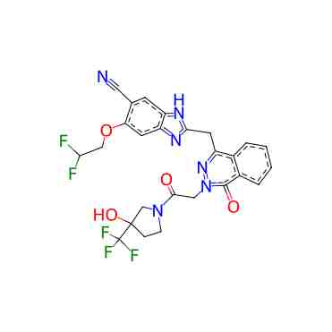 N#Cc1cc2[nH]c(Cc3nn(CC(=O)N4CCC(O)(C(F)(F)F)C4)c(=O)c4ccccc34)nc2cc1OCC(F)F